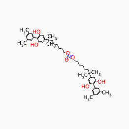 Cc1cc(C)cc(-c2c(O)cc(C(C)(C)CCCCCCO[N+](=O)OCCCCCCC(C)(C)c3cc(O)c(-c4cc(C)cc(C)c4)c(O)c3)cc2O)c1